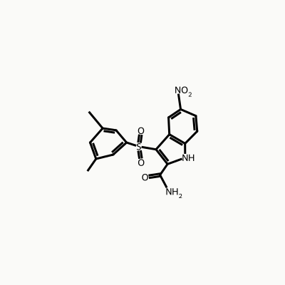 Cc1cc(C)cc(S(=O)(=O)c2c(C(N)=O)[nH]c3ccc([N+](=O)[O-])cc23)c1